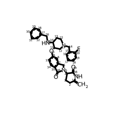 C=C1CCC(N2Cc3cc(OC4CN(Cc5ccccc5F)CCC4NCc4ccccc4)ccc3C2=O)C(=O)N1